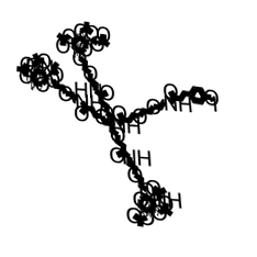 CC(=O)N[C@@H]1[C@H](OCCOCCNC(=O)CCOCC(COCCC(=O)NCCOCCO[C@H]2C[C@@H](OC(C)=O)[C@@H](OC(C)=O)[C@@H](COC(C)=O)O2)(COCCC(=O)NCCOCCO[C@H]2OC[C@@H](OC(C)=O)[C@@H](OC(C)=O)[C@@H]2NC(C)=O)NC(=O)CCOCCOCCNC(=O)CCc2ccc(OI)cc2)O[C@H](C)[C@@H](OC(C)=O)[C@H]1OC(C)=O